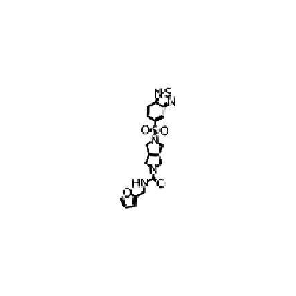 O=C(NCc1ccco1)N1CC2=C(C1)CN(S(=O)(=O)c1ccc3nsnc3c1)C2